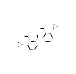 CC(=O)c1c(C(=O)c2cccc(C3CC3)c2C(C)=O)cccc1C1CC1